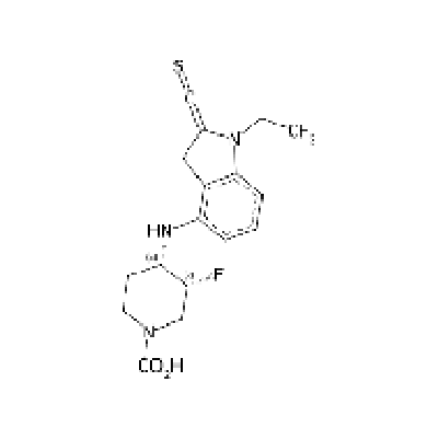 O=C(O)N1CC[C@H](Nc2cccc3c2CC(=C=S)N3CC(F)(F)F)[C@H](F)C1